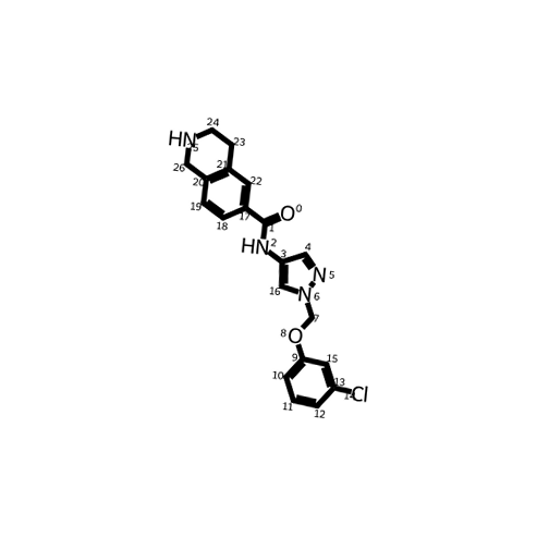 O=C(Nc1cnn(COc2cccc(Cl)c2)c1)c1ccc2c(c1)CCNC2